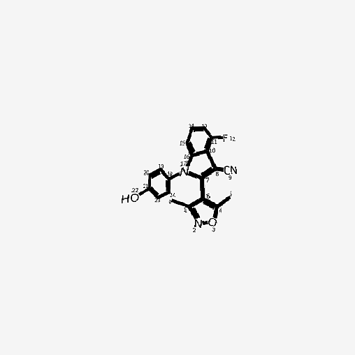 Cc1noc(C)c1-c1c(C#N)c2c(F)cccc2n1-c1ccc(O)cc1